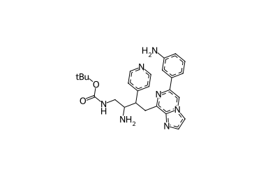 CC(C)(C)OC(=O)NCC(N)C(Cc1nc(-c2cccc(N)c2)cn2ccnc12)c1ccncc1